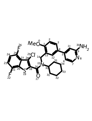 COc1ccc(-c2ccnc(N)c2)cc1CN(C(=O)c1sc2c(F)ccc(F)c2c1Cl)C1CCCCC1